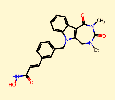 CCN1Cc2c(c3ccccc3n2Cc2cccc(/C=C/C(=O)NO)c2)C(=O)N(C)C1=O